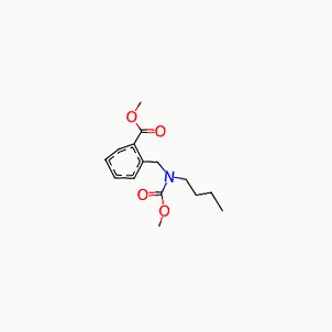 CCCCN(Cc1ccccc1C(=O)OC)C(=O)OC